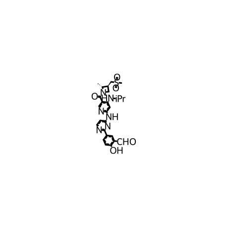 CC(C)Nc1cc(Nc2ccnc(-c3ccc(O)c(C=O)c3)n2)ncc1C(=O)N1C[C@H](CS(C)(=O)=O)[C@H]1C